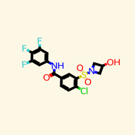 O=C(Nc1cc(F)c(F)c(F)c1)c1ccc(Cl)c(S(=O)(=O)N2CC(O)C2)c1